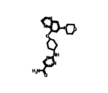 NC(=O)c1cnc(NC2CCC(Oc3cc(N4CCOCC4)cc4nccnc34)CC2)nc1